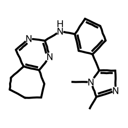 Cc1ncc(-c2cccc(Nc3ncc4c(n3)CCCCC4)c2)n1C